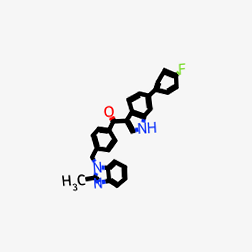 Cc1nc2ccccc2n1Cc1ccc(C(=O)c2c[nH]c3cc(-c4ccc(F)cc4)ccc23)cc1